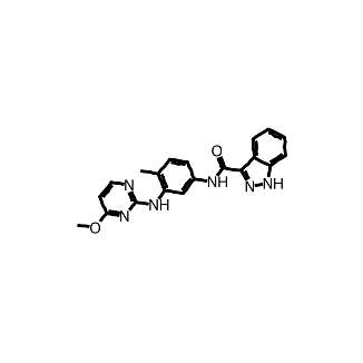 COc1ccnc(Nc2cc(NC(=O)c3n[nH]c4ccccc34)ccc2C)n1